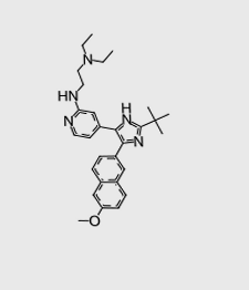 CCN(CC)CCNc1cc(-c2[nH]c(C(C)(C)C)nc2-c2ccc3cc(OC)ccc3c2)ccn1